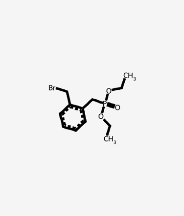 CCOP(=O)(Cc1ccccc1CBr)OCC